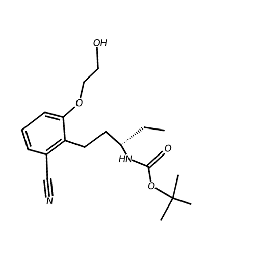 CC[C@@H](CCc1c(C#N)cccc1OCCO)NC(=O)OC(C)(C)C